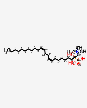 CCCCCCCCCC/C=C\CC/C=C\CCCCCCC(O)(C[N+](C)(C)C)P(=O)(O)O